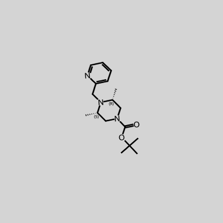 C[C@@H]1CN(C(=O)OC(C)(C)C)C[C@H](C)N1Cc1ccccn1